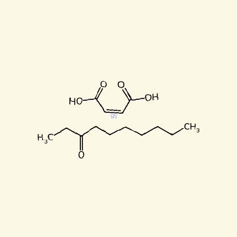 CCCCCCCC(=O)CC.O=C(O)/C=C\C(=O)O